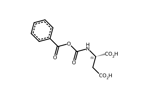 O=C(O)C[C@H](NC(=O)OC(=O)c1ccccc1)C(=O)O